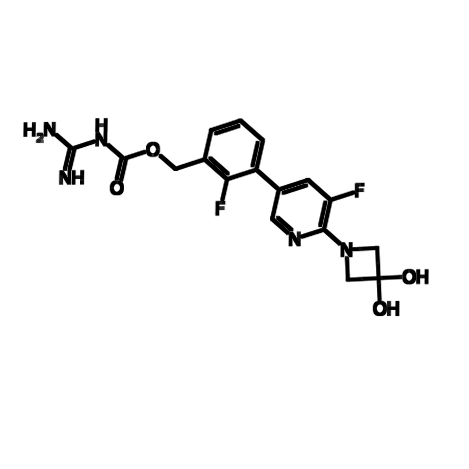 N=C(N)NC(=O)OCc1cccc(-c2cnc(N3CC(O)(O)C3)c(F)c2)c1F